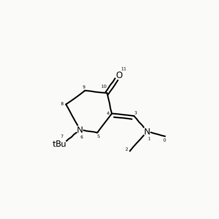 CN(C)C=C1CN(C(C)(C)C)CCC1=O